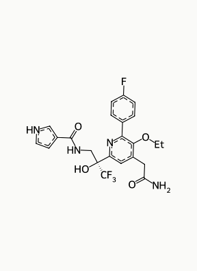 CCOc1c(CC(N)=O)cc([C@@](O)(CNC(=O)c2cc[nH]c2)C(F)(F)F)nc1-c1ccc(F)cc1